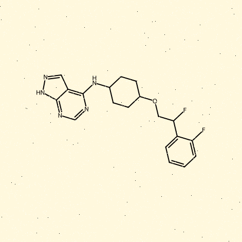 Fc1ccccc1C(F)COC1CCC(Nc2ncnc3[nH]ncc23)CC1